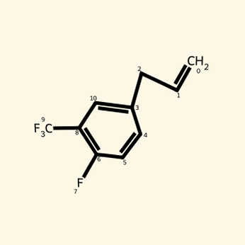 C=CCc1ccc(F)c(C(F)(F)F)c1